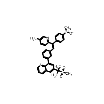 Cc1ccc(C(=Cc2cccc(-c3cc(C(C)(C)S(C)(=O)=O)cc4cccnc34)c2)c2ccc([S+](C)[O-])cc2)nc1